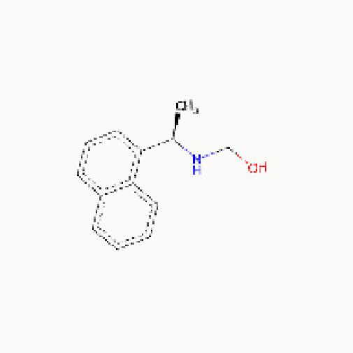 C[C@@H](NCO)c1cccc2ccccc12